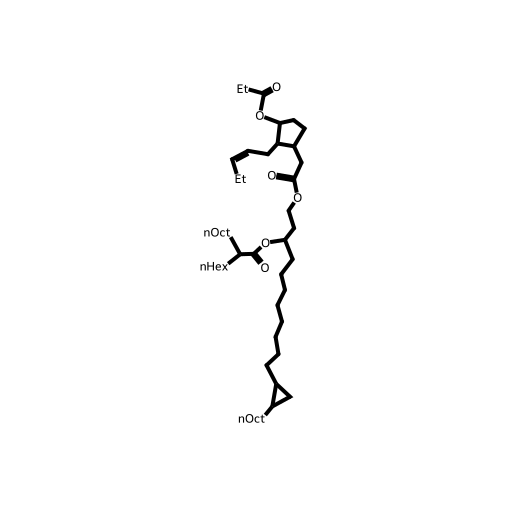 CC/C=C\CC1C(CC(=O)OCCC(CCCCCCCCC2CC2CCCCCCCC)OC(=O)C(CCCCCC)CCCCCCCC)CCC1OC(=O)CC